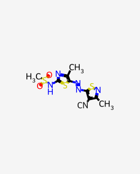 [C-]#[N+]c1c(C)nsc1/N=N/c1sc(NS(C)(=O)=O)nc1C